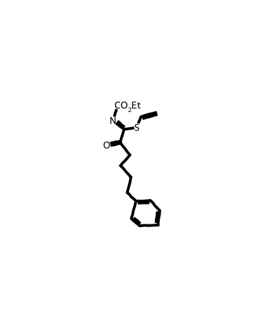 C=CS/C(=N\C(=O)OCC)C(=O)CCCCc1ccccc1